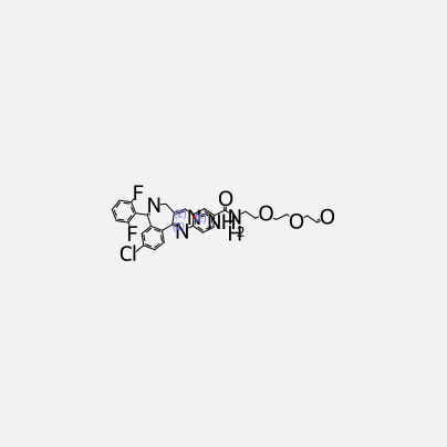 N/C=N/C=C1/CN=C(c2c(F)cccc2F)c2cc(Cl)ccc2/C1=N/c1ccc(C(=O)NCCOCCOCC=O)cc1